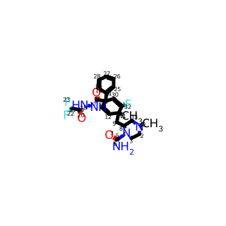 CN1CCN(C(N)=O)C(CC2(C)C=CC(C(=O)NNC(=O)C(F)F)(c3ccccc3)C=C2F)C1